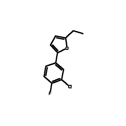 CCc1ccc(-c2ccc(F)c(Cl)c2)o1